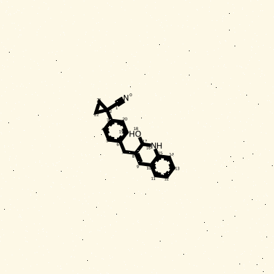 N#CC1(c2ccc(CC3=Cc4ccccc4NC3O)cc2)CC1